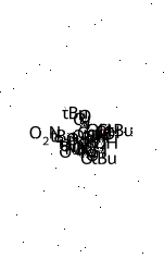 CN(C(=O)OC(C)(C)C)[C@@H]1[C@@H](O)[C@@H](O[C@H]2[C@H](NC(=O)C(O)C3CN(C(=O)OC(C)(C)C)C3)C[C@H](NC(=O)OC(C)(C)C)C([C@H]3OC(CNC(=O)OCc4ccc([N+](=O)[O-])cc4)=CC[C@H]3NC(=O)OC(C)(C)C)[C@@H]2O)OC[C@]1(C)O